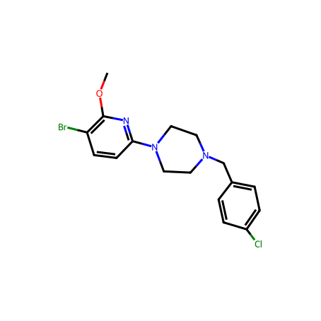 COc1nc(N2CCN(Cc3ccc(Cl)cc3)CC2)ccc1Br